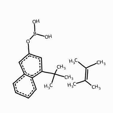 CC(C)(C)c1cc(OB(O)O)cc2ccccc12.CC(C)=C(C)C